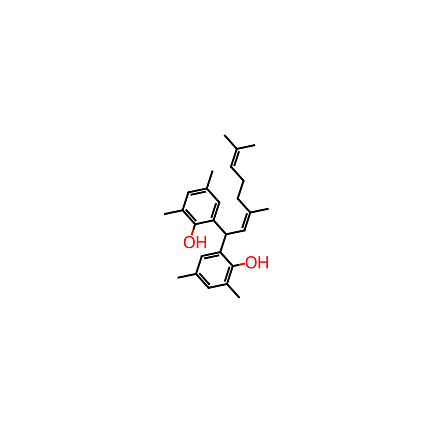 CC(C)=CCC/C(C)=C\C(c1cc(C)cc(C)c1O)c1cc(C)cc(C)c1O